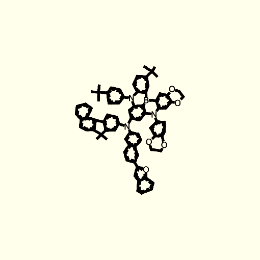 CC(C)(C)c1ccc(N2c3ccc(C(C)(C)C)cc3B3c4cc5c(cc4N(c4ccc6c(c4)OCCO6)c4cc(N(c6ccc7c(c6)C(C)(C)c6ccc8ccccc8c6-7)c6ccc7cc(-c8cc9ccccc9o8)ccc7c6)cc2c43)OCCO5)cc1